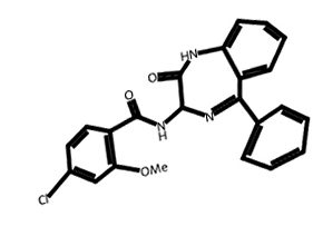 COc1cc(Cl)ccc1C(=O)NC1N=C(c2ccccc2)c2ccccc2NC1=O